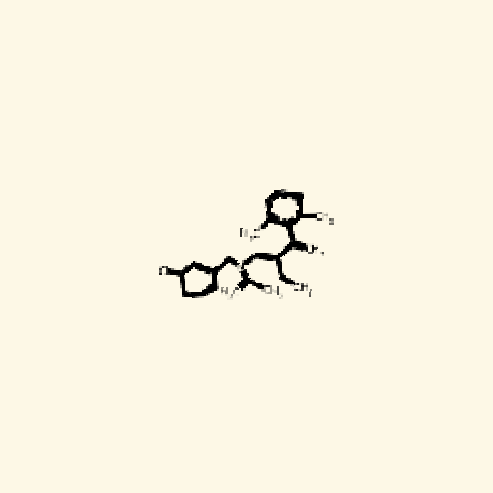 C=C(/C(=C/N(CC1=CC(Cl)CC=C1)C(=C)C)CC)c1c(C)cccc1C